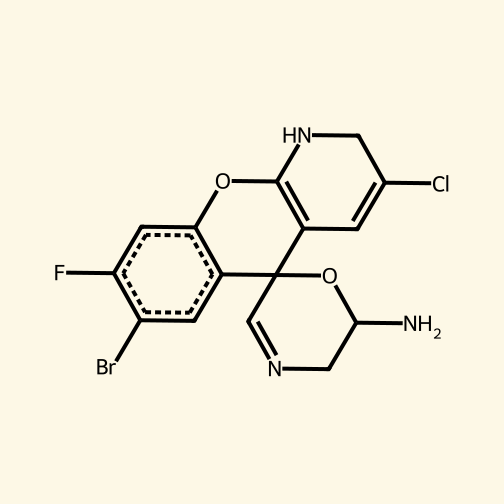 NC1CN=CC2(O1)C1=C(NCC(Cl)=C1)Oc1cc(F)c(Br)cc12